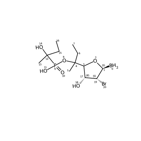 B[C@@H]1OC(C(C)(CC)OP(=O)(O)C(C)(O)CC)[C@@H](O)[C@H]1Br